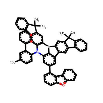 CC(C)(C)c1ccc(N2c3cc4c(cc3B3c5cc6c(cc5-c5cc(-c7cccc8oc9ccccc9c78)cc2c53)-c2ccccc2C6(C)C)C(C)(C)c2ccccc2-4)c(-c2ccccc2)c1